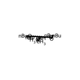 CCCCC(CCCC)CC(=O)OCCCCCCCCCCC(CCCCCCCCCCOC(=O)CC(CCCC)CCCC)NC(=O)CN(C)C